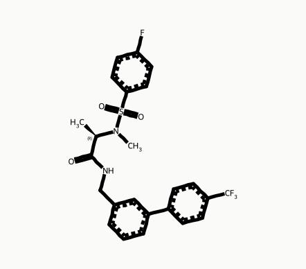 C[C@H](C(=O)NCc1cccc(-c2ccc(C(F)(F)F)cc2)c1)N(C)S(=O)(=O)c1ccc(F)cc1